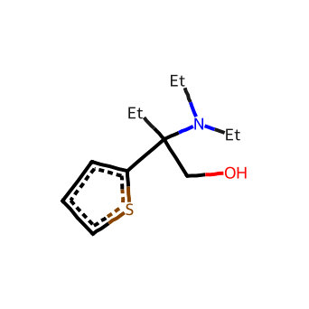 CCN(CC)C(CC)(CO)c1cccs1